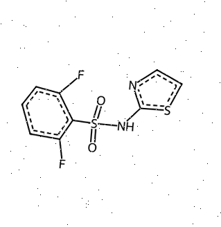 O=S(=O)(Nc1nccs1)c1c(F)cccc1F